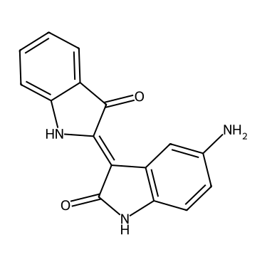 Nc1ccc2c(c1)/C(=C1/Nc3ccccc3C1=O)C(=O)N2